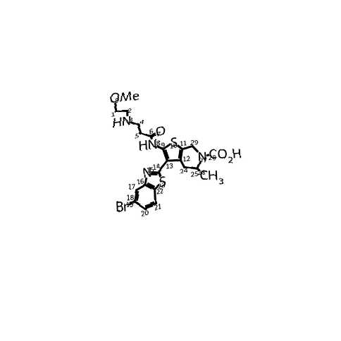 COCCNCCC(=O)Nc1sc2c(c1-c1nc3cc(Br)ccc3s1)CC(C)N(C(=O)O)C2